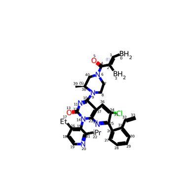 B/C=C(\B)C(=O)N1CCN(c2nc(=O)n(-c3c(CC)ccnc3C(C)C)c3nc(-c4ccccc4C=C)c(Cl)cc23)[C@@H](C)C1